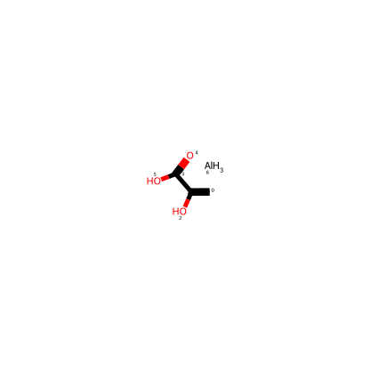 C=C(O)C(=O)O.[AlH3]